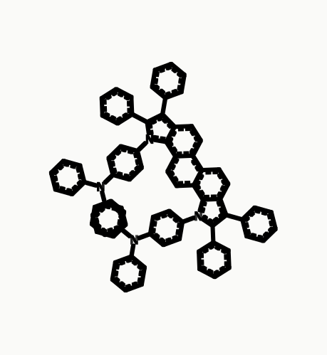 c1ccc(-c2c(-c3ccccc3)n(-c3ccc(N(c4ccccc4)c4ccccc4)cc3)c3c2ccc2c4ccc5c(-c6ccccc6)c(-c6ccccc6)n(-c6ccc(N(c7ccccc7)c7ccccc7)cc6)c5c4ccc23)cc1